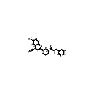 N#Cc1cc(N2CCC[C@@H](C(=O)NCc3cnccn3)C2)nc2ccc(Br)cc12